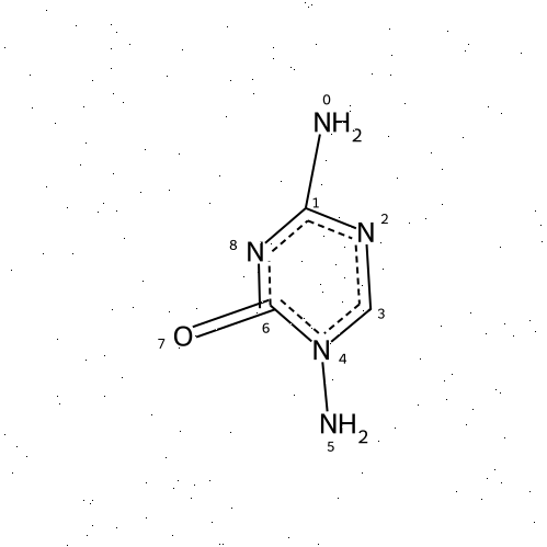 Nc1ncn(N)c(=O)n1